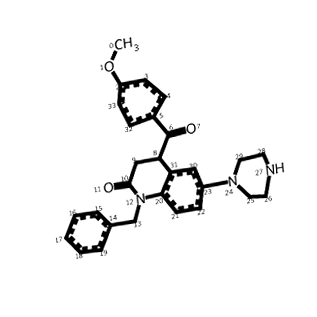 COc1ccc(C(=O)C2CC(=O)N(Cc3ccccc3)c3ccc(N4CCNCC4)cc32)cc1